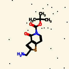 CC(C)(C)OC(=O)n1ccc2sc(CN)cc2c1=O